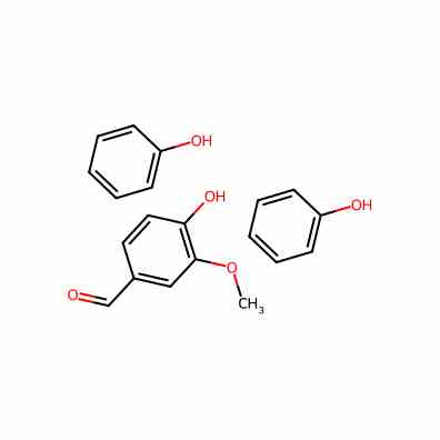 COc1cc(C=O)ccc1O.Oc1ccccc1.Oc1ccccc1